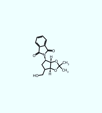 CC1(C)O[C@@H]2[C@H](O1)C(CO)C[C@H]2N1C(=O)c2ccccc2C1=O